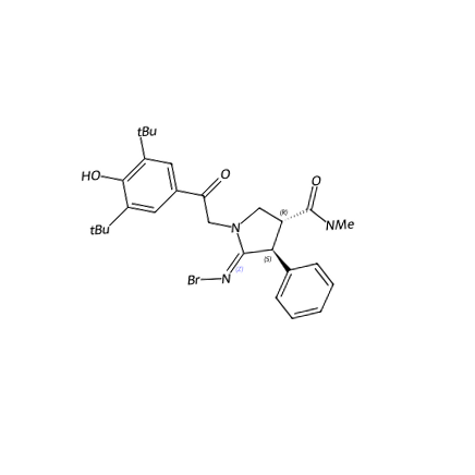 CNC(=O)[C@H]1CN(CC(=O)c2cc(C(C)(C)C)c(O)c(C(C)(C)C)c2)/C(=N\Br)[C@@H]1c1ccccc1